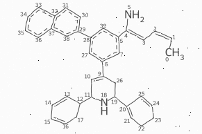 C/C=C\C=C(/N)c1cc(C2=CC(C3C=CC=CC3)NC(C3=CCCC=C3)C2)cc(-c2ccc3ccccc3c2)c1